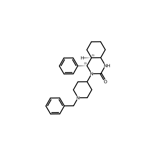 O=C1NC2CCCC[C@@H]2[C@@H](c2ccccc2)N1C1CCN(Cc2ccccc2)CC1